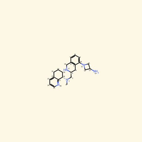 CN(C[C@@H]1Cc2c(cccc2N2CC(N)C2)CN1)[C@H]1CCCc2cccnc21